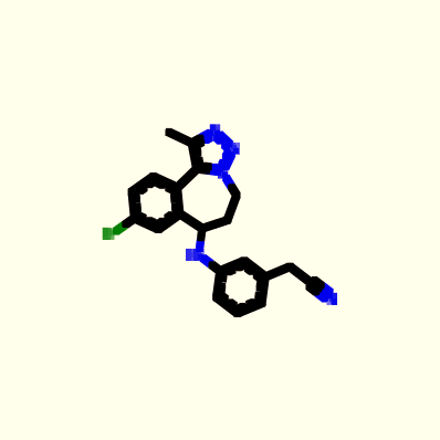 Cc1nnn2c1-c1ccc(Br)cc1C(Nc1cccc(CC#N)c1)CC2